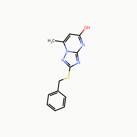 Cc1cc(O)nc2nc(SCc3ccccc3)nn12